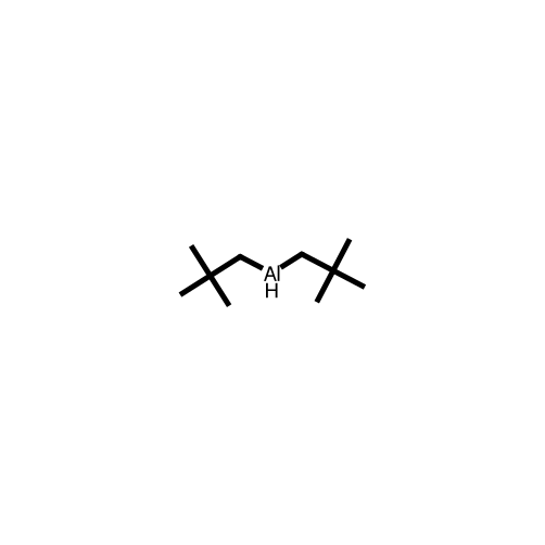 CC(C)(C)[CH2][AlH][CH2]C(C)(C)C